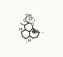 C[C@@H]1CC[C@H]2[C@@H](C)[C@](OO)(C(F)(F)F)O[C@@H]3O[C@]4(C)CC[C@@H]1[C@]32OO4